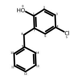 Oc1ccc(Cl)cc1[CH]c1ccccc1